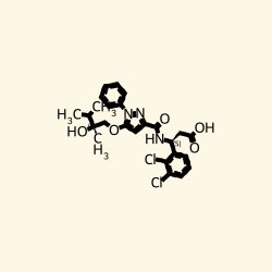 CC(C)[C@](C)(O)COc1cc(C(=O)N[C@@H](CC(=O)O)c2cccc(Cl)c2Cl)nn1-c1ccccc1